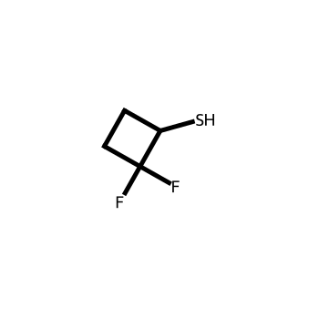 FC1(F)CCC1S